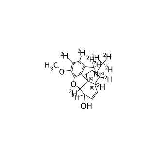 [2H]c1c([2H])c2c3c(c1OC)OC1([2H])C([2H])(O)C=C[C@]4([2H])[C@@]31CCN(C([2H])([2H])[2H])[C@]4([2H])C2([2H])[2H]